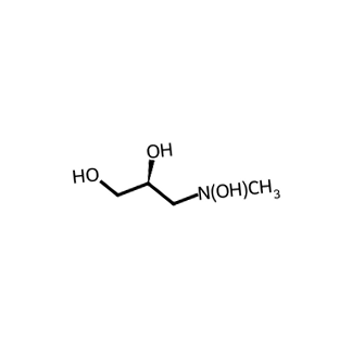 CN(O)C[C@H](O)CO